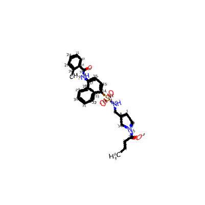 CCCC(=O)N1CCC(CNS(=O)(=O)c2ccc(NC(=O)c3ccccc3C)c3ccccc23)C1